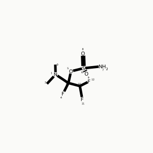 CN(C)C(F)(OS(N)(=O)=O)C(F)F